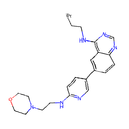 CC(C)CCNc1ncnc2ccc(-c3ccc(NCCN4CCOCC4)nc3)cc12